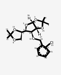 CC1(C)O[C@H]2O[C@H]([C@H]3COC(C)(C)O3)[C@H](OCc3ccccc3Cl)[C@H]2O1